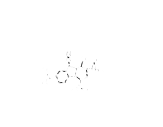 [N-]=[N+]=C1c2cc([N+](=O)[O-])ccc2C2=C([N+](=O)[O-])C=C([N+](=O)[O-])C(=O)C12